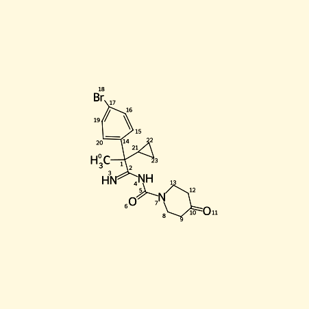 CC(C(=N)NC(=O)N1CCC(=O)CC1)(c1ccc(Br)cc1)C1CC1